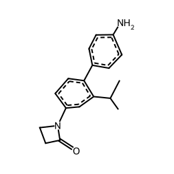 CC(C)c1cc(N2CCC2=O)ccc1-c1ccc(N)cc1